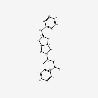 CC(CC(C)N1CC2CN(Cc3ccccc3)CC2C1)c1ccccc1